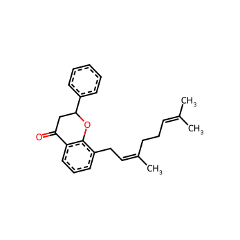 CC(C)=CCCC(C)=CCc1cccc2c1OC(c1ccccc1)CC2=O